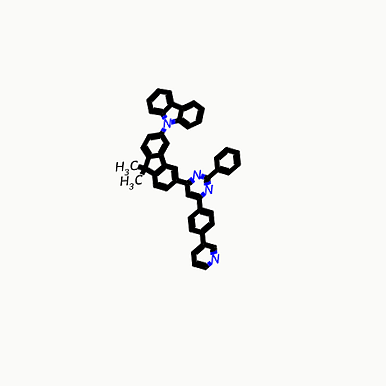 CC1(C)c2ccc(-c3cc(-c4ccc(-c5cccnc5)cc4)nc(-c4ccccc4)n3)cc2-c2cc(-n3c4ccccc4c4ccccc43)ccc21